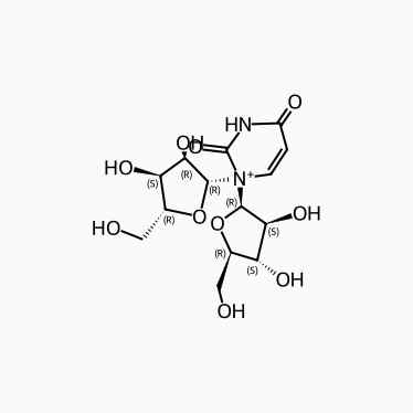 O=C1C=C[N+]([C@@H]2O[C@H](CO)[C@@H](O)[C@H]2O)([C@@H]2O[C@H](CO)[C@@H](O)[C@@H]2O)C(=O)N1